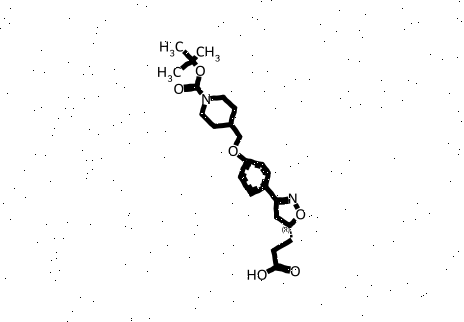 CC(C)(C)OC(=O)N1CCC(COc2ccc(C3=NO[C@H](CCC(=O)O)C3)cc2)CC1